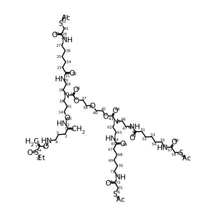 C=C(CCCNOC(=C)[S+]([O-])CC)NOCCCN(CCNC(=O)CCCCCNC(=O)CSC(C)=O)C(=O)OCCOCCOC(=O)N(CCNC(=O)CCCCCNC(=O)CSC(C)=O)CCNC(=O)CCCCCNC(=O)CSC(C)=O